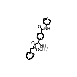 CON(Cc1ccccc1)C(=O)C(N)c1ccc(C(=O)Nc2ccncc2)cc1